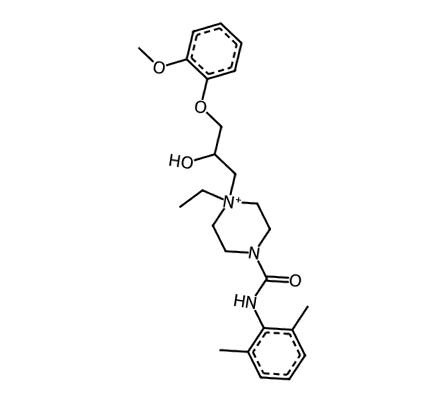 CC[N+]1(CC(O)COc2ccccc2OC)CCN(C(=O)Nc2c(C)cccc2C)CC1